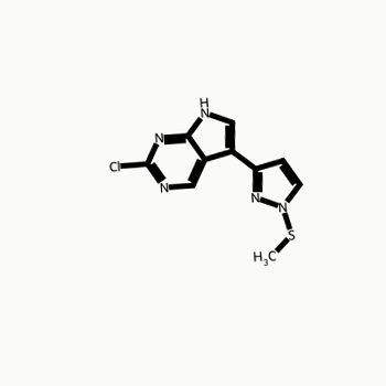 CSn1ccc(-c2c[nH]c3nc(Cl)ncc23)n1